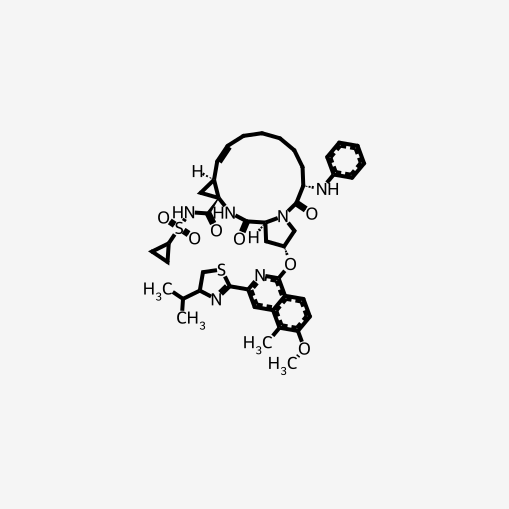 COc1ccc2c(O[C@@H]3C[C@H]4C(=O)N[C@]5(C(=O)NS(=O)(=O)C6CC6)C[C@H]5/C=C\CCCCC[C@H](Nc5ccccc5)C(=O)N4C3)nc(C3=NC(C(C)C)CS3)cc2c1C